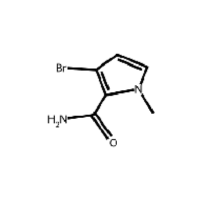 Cn1ccc(Br)c1C(N)=O